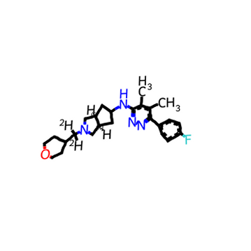 [2H]C([2H])(C1CCOCC1)N1C[C@H]2CC(Nc3nnc(-c4ccc(F)cc4)c(C)c3C)C[C@H]2C1